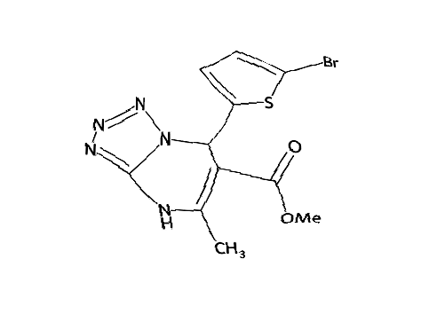 COC(=O)C1=C(C)Nc2nnnn2C1c1ccc(Br)s1